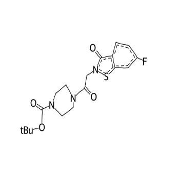 CC(C)(C)OC(=O)N1CCN(C(=O)Cn2sc3cc(F)ccc3c2=O)CC1